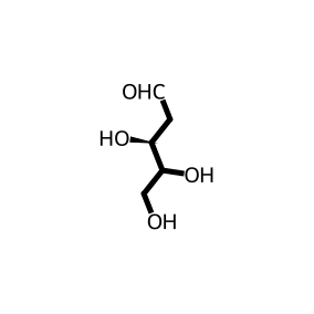 O=CC[C@H](O)C(O)CO